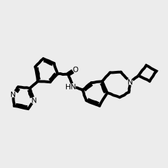 O=C(Nc1ccc2c(c1)CCN(C1CCC1)CC2)c1cccc(-c2cnccn2)c1